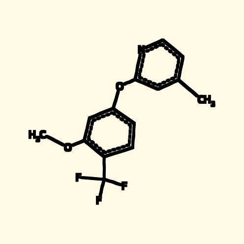 COc1cc(Oc2cc(C)ccn2)ccc1C(F)(F)F